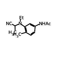 CCN(c1cc(NC(C)=O)ccc1C)C(C)C#N